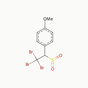 COc1ccc(C([SH](=O)=O)C(Br)(Br)Br)cc1